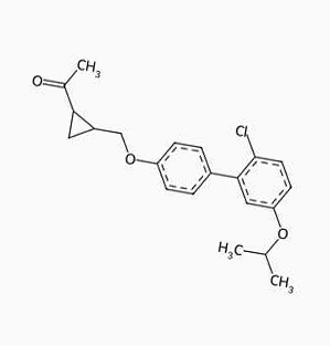 CC(=O)C1CC1COc1ccc(-c2cc(OC(C)C)ccc2Cl)cc1